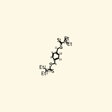 CCN(CC)C(=S)SCc1ccc(CSC(=S)N(CC)CC)cc1